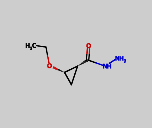 CCO[C@H]1C[C@H]1C(=O)NN